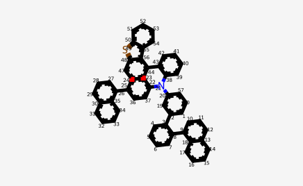 c1cc(-c2ccccc2-c2cccc3ccccc23)cc(N(c2ccc(-c3cccc4ccccc34)cc2)c2ccccc2-c2cccc3sc4ccccc4c23)c1